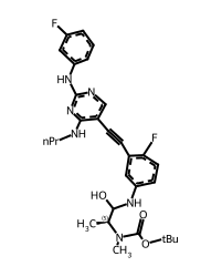 CCCNc1nc(Nc2cccc(F)c2)ncc1C#Cc1cc(NC(O)[C@H](C)N(C)C(=O)OC(C)(C)C)ccc1F